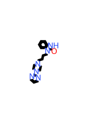 O=c1[nH]c2ccccc2n1CCCCN1CCN(c2ncccn2)CC1